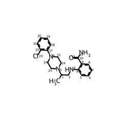 CC(CNc1ccccc1C(N)=O)N1CCN(c2ccccc2Cl)CC1